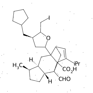 CC(C)C1=CC2CC3(C=O)[C@@H]4CC[C@@H](C)[C@H]4CC2(C2C[C@@H](CC4CCCC4)C(CI)O2)C13C(=O)O